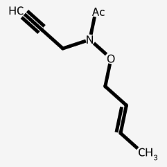 C#CCN(OC/C=C/C)C(C)=O